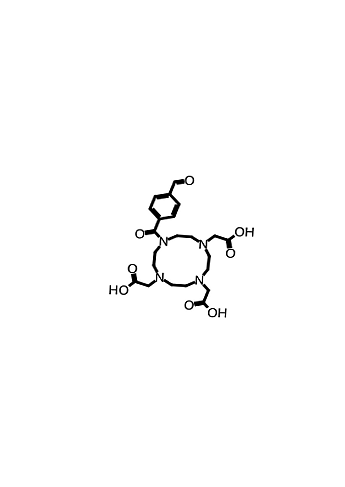 O=Cc1ccc(C(=O)N2CCN(CC(=O)O)CCN(CC(=O)O)CCN(CC(=O)O)CC2)cc1